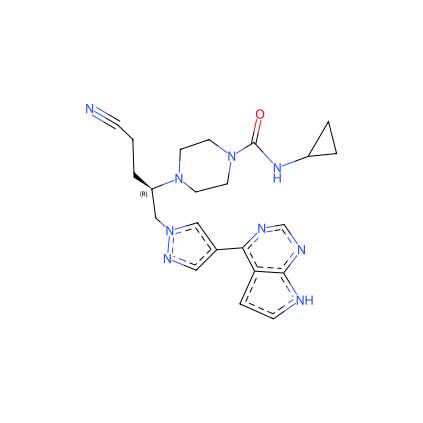 N#CCC[C@H](Cn1cc(-c2ncnc3[nH]ccc23)cn1)N1CCN(C(=O)NC2CC2)CC1